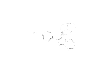 CC(C)c1ccc(-c2nc3ncccn3c2CN2C3CCC2CN(C=O)CC3)cc1